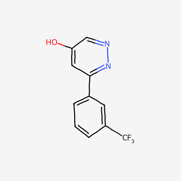 Oc1cnnc(-c2cccc(C(F)(F)F)c2)c1